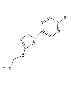 COCOc1cc(-c2cnc(Br)cn2)on1